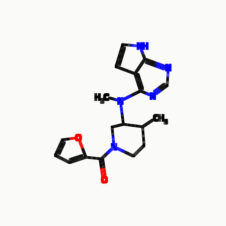 CC1CCN(C(=O)c2ccco2)CC1N(C)c1ncnc2[nH]ccc12